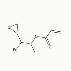 C=CC(=O)OC(C)C(CC)C1CO1